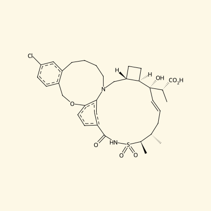 C[C@@H]1[C@@H](C)C/C=C/[C@](O)([C@@H](C)C(=O)O)[C@@H]2CC[C@H]2CN2CCCCc3cc(Cl)ccc3COc3ccc(cc32)C(=O)NS1(=O)=O